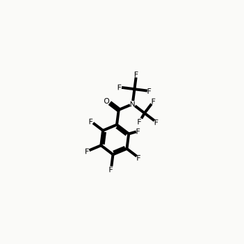 O=C(c1c(F)c(F)c(F)c(F)c1F)N(C(F)(F)F)C(F)(F)F